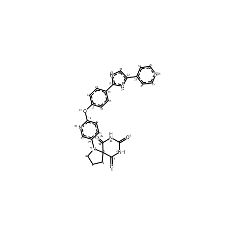 O=C1NC(=O)C2(CCCN2c2ccc(Oc3ccc(-c4ncc(-c5ccncc5)o4)cc3)nc2)C(=O)N1